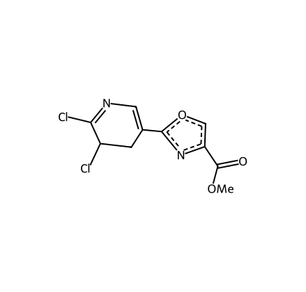 COC(=O)c1coc(C2=CN=C(Cl)C(Cl)C2)n1